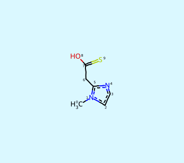 Cn1ccnc1CC(O)=S